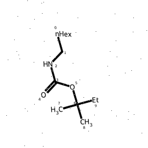 CCCCCCCNC(=O)OC(C)(C)CC